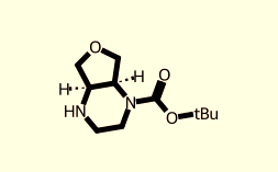 CC(C)(C)OC(=O)N1CCN[C@H]2COC[C@H]21